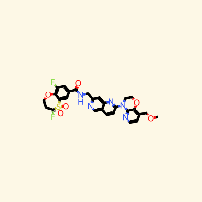 COCc1ccnc2c1OCCN2c1ccc2cnc(CNC(=O)c3cc(F)c4c(c3)S(=O)(=O)[C@@H](F)CCO4)cc2n1